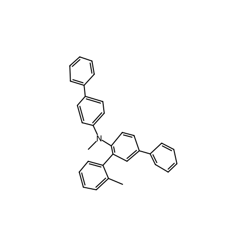 Cc1ccccc1-c1cc(-c2ccccc2)ccc1N(C)c1ccc(-c2ccccc2)cc1